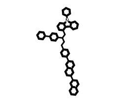 c1ccc(-c2ccc(C(CCc3ccc(-c4ccc5cc(-c6ccc7ccccc7c6)ccc5c4)cc3)Cc3cccc4c3c3ccccc3n4-c3ccccc3)cc2)cc1